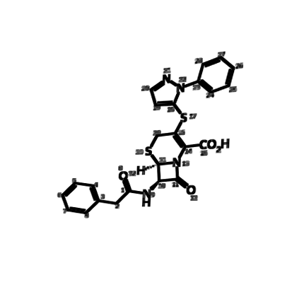 O=C(Cc1ccccc1)N[C@@H]1C(=O)N2C(C(=O)O)=C(Sc3ccnn3-c3ccccc3)CS[C@H]12